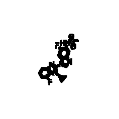 CS(=O)(=O)Nc1cc2ncn(-c3nc4cccc(F)c4n3C3CC3)c2cc1F